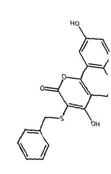 O=c1oc2c(c(O)c1SCc1ccccc1)CCc1ccc(O)cc1-2